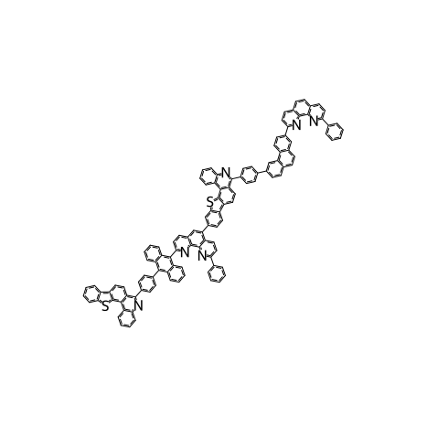 c1ccc(-c2ccc3ccc4ccc(-c5ccc6c(ccc7ccc(-c8ccc(-c9nc%10ccccc%10c%10c9ccc9c%11ccc(-c%12cc%13ccc(-c%14c%15ccccc%15c(-c%15ccc(-c%16nc%17ccccc%17c%17c%16ccc%16c%18ccccc%18sc%16%17)cc%15)c%15ccccc%14%15)nc%13c%13nc(-c%14ccccc%14)ccc%12%13)cc%11sc9%10)cc8)cc76)c5)nc4c3n2)cc1